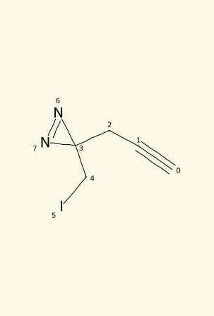 C#CCC1(CI)N=N1